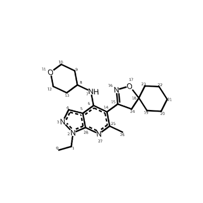 CCn1ncc2c(NC3CCOCC3)c(C3=NOC4(CCCCC4)C3)c(C)nc21